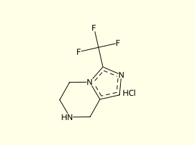 Cl.FC(F)(F)c1ncc2n1CCNC2